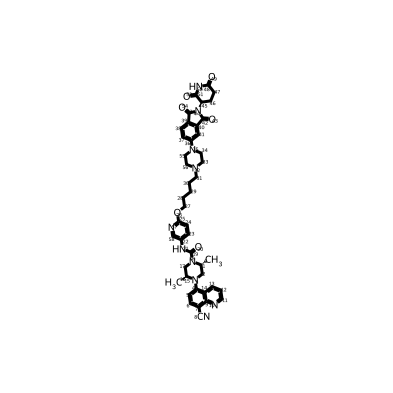 C[C@@H]1CN(c2ccc(C#N)c3ncccc23)[C@@H](C)CN1C(=O)Nc1ccc(OCCCCCN2CCN(c3ccc4c(c3)C(=O)N([C@@H]3CCC(=O)NC3=O)C4=O)CC2)nc1